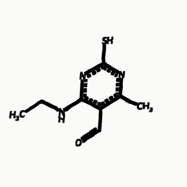 CCNc1nc(S)nc(C)c1C=O